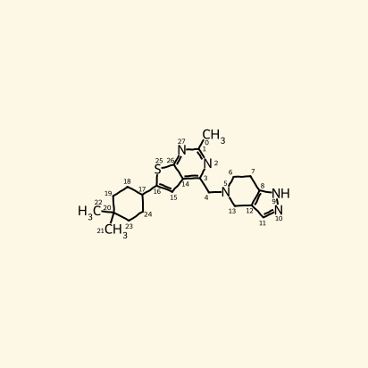 Cc1nc(CN2CCc3[nH]ncc3C2)c2cc(C3CCC(C)(C)CC3)sc2n1